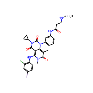 Cc1c(=O)n(C)c(Nc2ccc(I)cc2F)c2c(=O)n(C3CC3)c(=O)n(-c3cccc(NC(=O)CCNC(=O)O)c3)c12